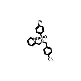 CC(C)c1ccc(S(=O)(=O)N(Cc2ccc(C#N)cc2)Cc2ccccn2)cc1